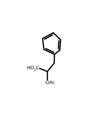 CC(=O)OC(Cc1ccccc1)C(=O)O